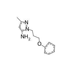 Cc1cc(N)n(CCCOc2ccccc2)n1